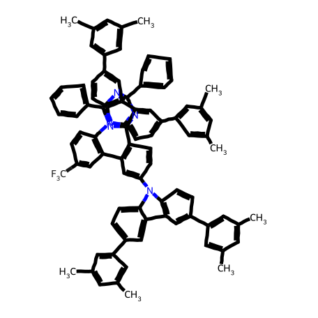 Cc1cc(C)cc(-c2ccc3c(c2)c2cc(-c4cc(C)cc(C)c4)ccc2n3-c2ccc(-c3nc(-c4ccccc4)nc(-c4ccccc4)n3)c(-c3cc(C(F)(F)F)ccc3-n3c4ccc(-c5cc(C)cc(C)c5)cc4c4cc(-c5cc(C)cc(C)c5)ccc43)c2)c1